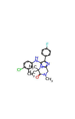 Cc1cc(Nc2c(-c3ccc(F)cc3)nc3n2C(C)(C)C(=O)N(C)C3)ccc1Cl